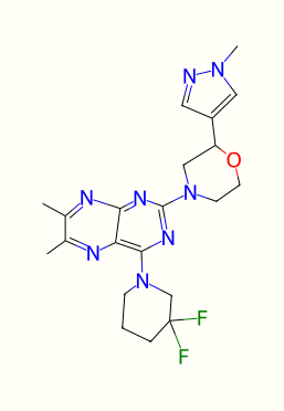 Cc1nc2nc(N3CCOC(c4cnn(C)c4)C3)nc(N3CCCC(F)(F)C3)c2nc1C